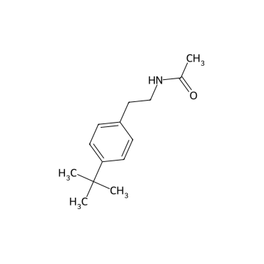 CC(=O)NCCc1ccc(C(C)(C)C)cc1